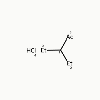 CCC(CC)C(C)=O.Cl